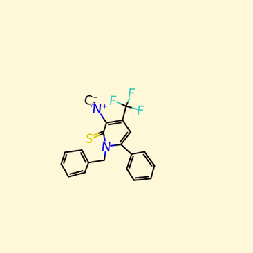 [C-]#[N+]c1c(C(F)(F)F)cc(-c2ccccc2)n(Cc2ccccc2)c1=S